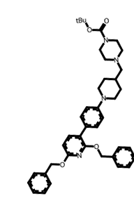 CC(C)(C)OC(=O)N1CCN(CC2CCN(c3ccc(-c4ccc(OCc5ccccc5)nc4OCc4ccccc4)cc3)CC2)CC1